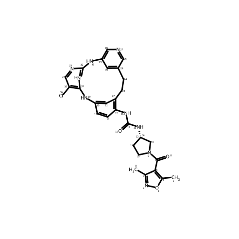 Cc1noc(C)c1C(=O)N1CC[C@H](NC(=O)Nc2ccc3cc2CCc2cncc(c2)Nc2ncc(Cl)c(n2)N3)C1